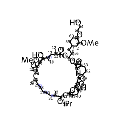 CO[C@@H]1CC(C[C@@H](C)C2CC(=O)[C@H](C)/C=C(\C)[C@@H](O)[C@@H](OC)C(=O)[C@H](C)C[C@H](C)/C=C/C=C/C=C(\C)C(OC(C)C)C[C@@H]3CC[C@@H](C)[C@@](O)(O3)C(=O)C(=O)N3CCCC[C@H]3C(=O)O2)CC[C@H]1OCCO